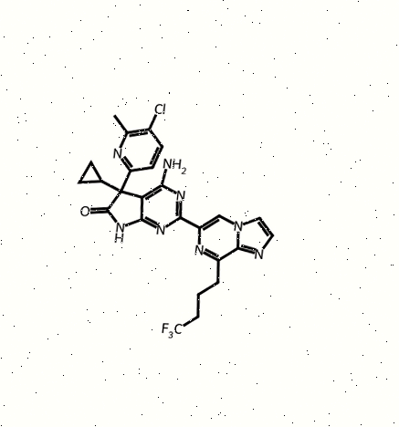 Cc1nc(C2(C3CC3)C(=O)Nc3nc(-c4cn5ccnc5c(CCCC(F)(F)F)n4)nc(N)c32)ccc1Cl